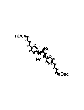 CCCCCCCCCCCCC=Cc1ccc(N=CC(CCCC)=Nc2ccc(C=CCCCCCCCCCCCC)cc2)cc1.[Pd]